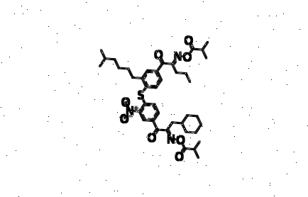 CCC/C(=N\OC(=O)C(C)C)C(=O)c1ccc(Sc2ccc(C(=O)/C(CC3CCCCC3)=N/OC(=O)C(C)C)cc2[N+](=O)[O-])c(CCCCC(C)C)c1